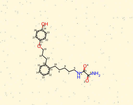 NC(=O)C(=O)NCCCCCc1ccccc1CCCOc1ccc(O)cc1